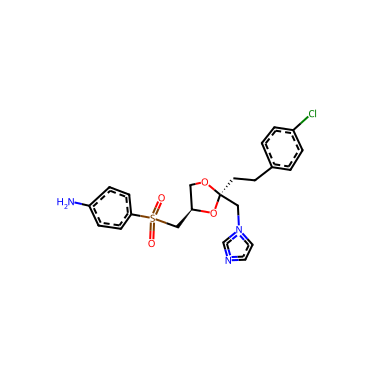 Nc1ccc(S(=O)(=O)C[C@H]2CO[C@@](CCc3ccc(Cl)cc3)(Cn3ccnc3)O2)cc1